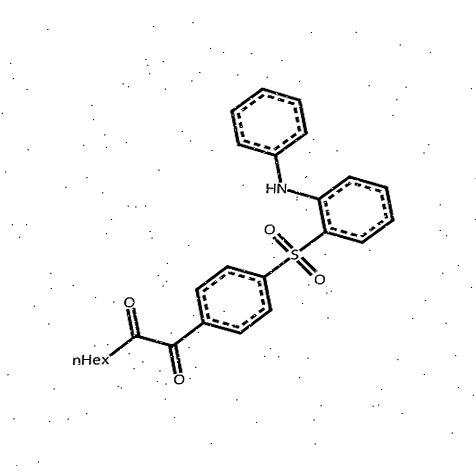 CCCCCCC(=O)C(=O)c1ccc(S(=O)(=O)c2ccccc2Nc2ccccc2)cc1